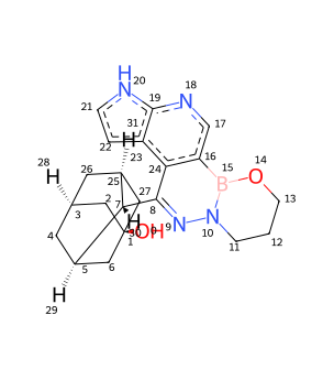 O[C@]12C[C@H]3C[C@H](C1)[C@@H](C1=NN4CCCOB4c4cnc5[nH]ccc5c41)[C@@H](C3)C2